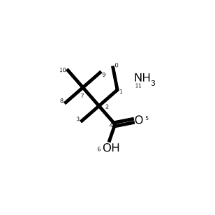 CCC(C)(C(=O)O)C(C)(C)C.N